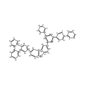 c1ccc(-c2ccc(-c3nc(-c4ccccc4)nc(-c4ccc5oc6ccc(-c7ccc8c9ccccc9c9ccccc9c8c7)cc6c5c4)n3)cc2)cc1